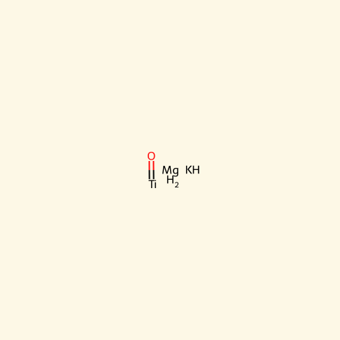 [KH].[MgH2].[O]=[Ti]